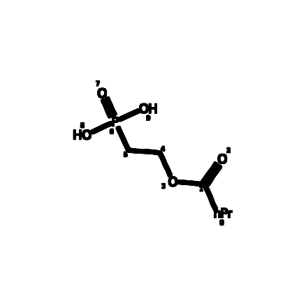 CCCC(=O)OCCP(=O)(O)O